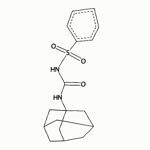 O=C(NC12CC3CC(CC(C3)C1)C2)NS(=O)(=O)c1ccccc1